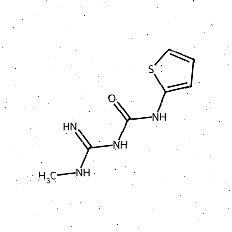 CNC(=N)NC(=O)Nc1cccs1